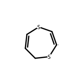 [C]1=CSC=CCS1